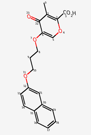 Cc1c(C(=O)O)occ(OCCCOc2ccc3ccccc3c2)c1=O